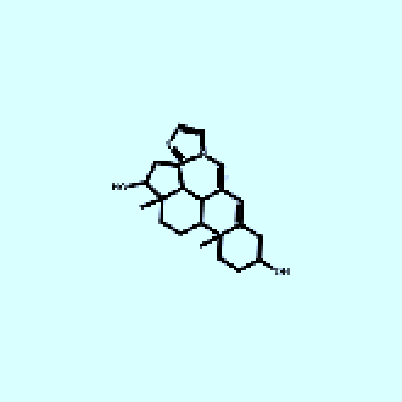 CC12CCC(O)CC1=C/C(=C/n1ccnc1)C1C2CCC2(C)C(O)CCC12